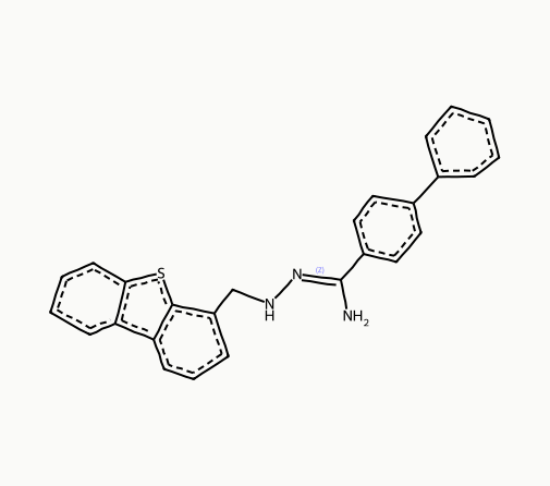 N/C(=N\NCc1cccc2c1sc1ccccc12)c1ccc(-c2ccccc2)cc1